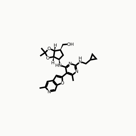 Cc1cc2cc(-c3c(C)nc(NCC4CC4)nc3N[C@@H]3C[C@H](CO)[C@H]4OC(C)(C)O[C@H]43)oc2cn1